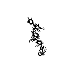 Cc1nc(-c2ccccc2)c(CN2CCC3(CC2)CN(c2ccc(N4OCO4)cc2)C(=O)O3)s1